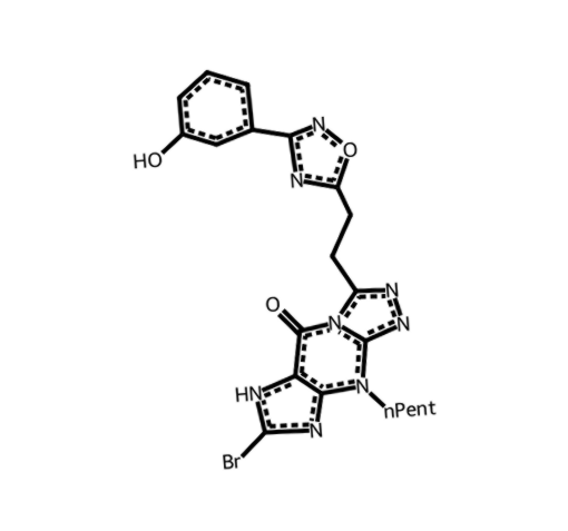 CCCCCn1c2nc(Br)[nH]c2c(=O)n2c(CCc3nc(-c4cccc(O)c4)no3)nnc12